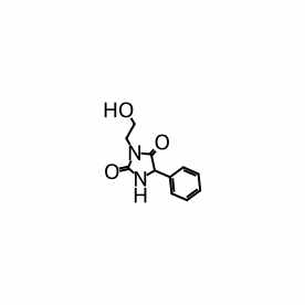 O=C1NC(c2ccccc2)C(=O)N1CCO